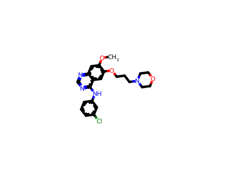 COc1cc2ncnc(Nc3cccc(Cl)c3)c2cc1OCCCN1CCOCC1